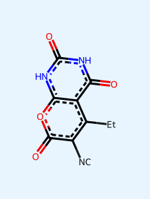 [C-]#[N+]c1c(CC)c2c(=O)[nH]c(=O)[nH]c2oc1=O